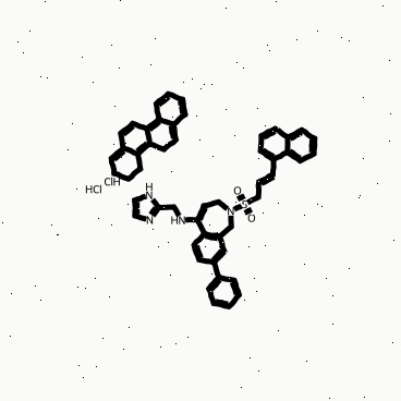 C1=c2ccc3c(c2CCC1)CC=c1ccccc1=3.Cl.Cl.O=S(=O)(CC=Cc1cccc2ccccc12)N1CC=C(NCc2ncc[nH]2)c2ccc(-c3ccccc3)cc2C1